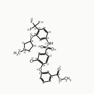 COC(=O)c1cccc(Oc2ccc(S(=O)(=O)Nc3ccc(C(F)(F)F)c(OC4CCN(C)C4)c3)cc2Cl)c1